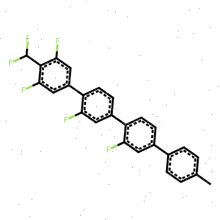 Cc1ccc(-c2ccc(-c3ccc(-c4cc(F)c(C(F)F)c(F)c4)c(F)c3)c(F)c2)cc1